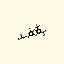 O=[N+]([O-])c1ccc(Oc2c(Cl)cc(OCC=C(Br)Br)cc2Cl)c(C(F)(F)F)c1